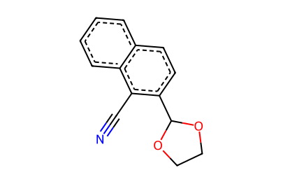 N#Cc1c(C2OCCO2)ccc2ccccc12